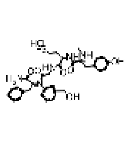 CN[C@@H](Cc1ccc(O)cc1)C(=O)N[C@H](CCSC)C(=O)NCC(=O)N(c1cccc(CO)c1)[C@@H](Cc1ccccc1)C(N)=O.Cl